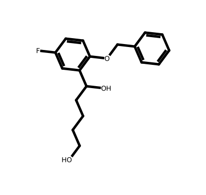 OCCCCC(O)c1cc(F)ccc1OCc1ccccc1